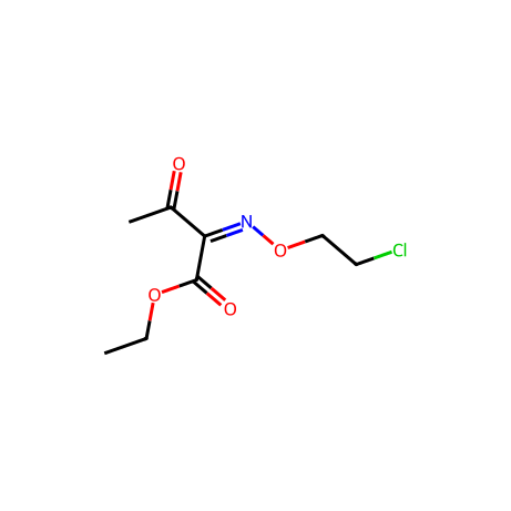 CCOC(=O)/C(=N\OCCCl)C(C)=O